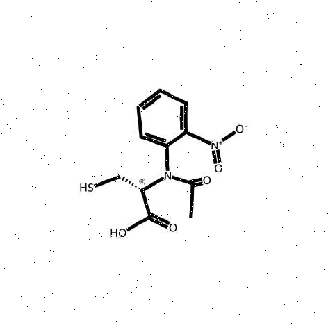 CC(=O)N(c1ccccc1[N+](=O)[O-])[C@@H](CS)C(=O)O